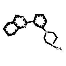 CN1CCN(c2cccc(-c3ncc4ccccc4n3)c2)CC1